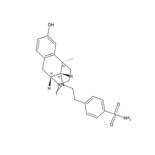 CN1CC[C@]2(C)c3cc(O)ccc3C[C@@H]1[C@H]2N(C)CCc1ccc(S(N)(=O)=O)cc1